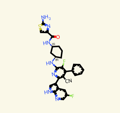 N#Cc1c(-c2c[nH]c3ncc(F)cc23)nc(N[C@@H]2CCC[C@H](NC(=O)c3csc(N)n3)C2)c(F)c1-c1ccccc1